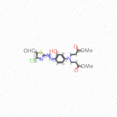 COC(=O)CCN(CCC(=O)OC)c1ccc(/N=N/C2=NC(Cl)C(C=O)S2)c(O)c1